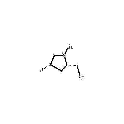 CN1C[C@@H](F)C[C@H]1CO